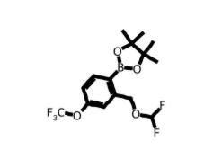 CC1(C)OB(c2ccc(OC(F)(F)F)cc2COC(F)F)OC1(C)C